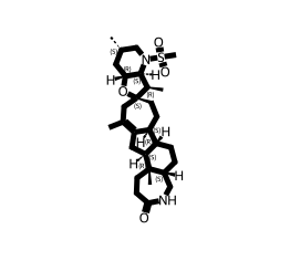 CC1=C2C[C@H]3[C@@H](CC[C@@H]4CNC(=O)CC[C@@]43C)[C@@H]2CC[C@@]2(C1)O[C@@H]1C[C@H](C)CN(S(C)(=O)=O)[C@H]1[C@H]2C